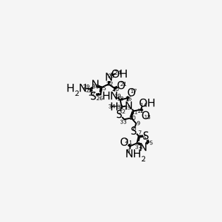 NC(=O)c1ncsc1SCC1=C(C(=O)O)N2C(=O)C(NC(=O)/C(=N\O)c3csc(N)n3)[C@@H]2SC1